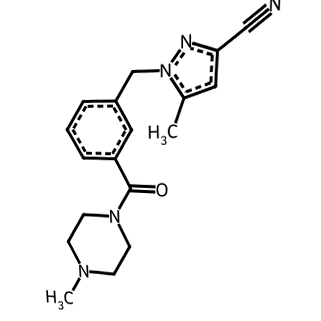 Cc1cc(C#N)nn1Cc1cccc(C(=O)N2CCN(C)CC2)c1